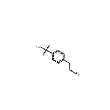 CC(C)(N)c1ccc(CCN)cc1